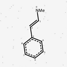 CNC=Cc1ccccc1